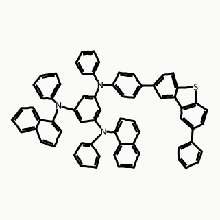 c1ccc(-c2ccc3sc4ccc(-c5ccc(N(c6ccccc6)c6cc(N(c7ccccc7)c7cccc8ccccc78)cc(N(c7ccccc7)c7cccc8ccccc78)c6)cc5)cc4c3c2)cc1